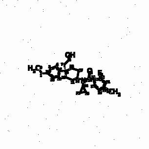 CCc1ccc([C@]2(CCO)CC[C@@H](N(C(=O)c3ccc(C)cc3F)C3CC3)CC2)cc1